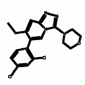 CCc1cc2nnc(N3CCOCC3)n2cc1-c1ccc(Cl)cc1Cl